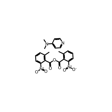 CN(C)c1ccncc1.Cc1cccc([N+](=O)[O-])c1C(=O)OC(=O)c1c(C)cccc1[N+](=O)[O-]